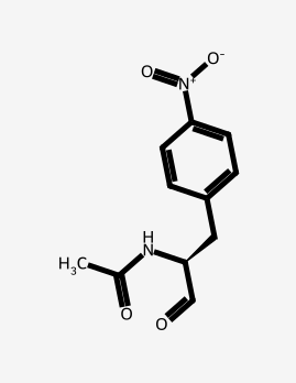 CC(=O)N[C@H](C=O)Cc1ccc([N+](=O)[O-])cc1